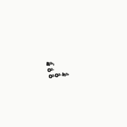 [Bi+3].[In+3].[O-2].[O-2].[O-2]